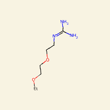 CCOCCOCCN=C(N)N